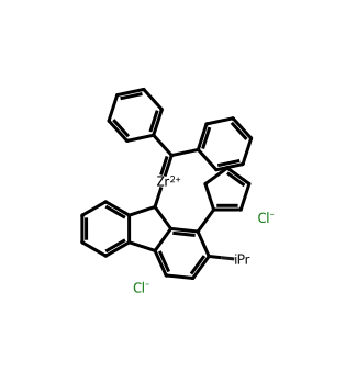 CC(C)c1ccc2c(c1C1=CC=CC1)[CH]([Zr+2]=[C](c1ccccc1)c1ccccc1)c1ccccc1-2.[Cl-].[Cl-]